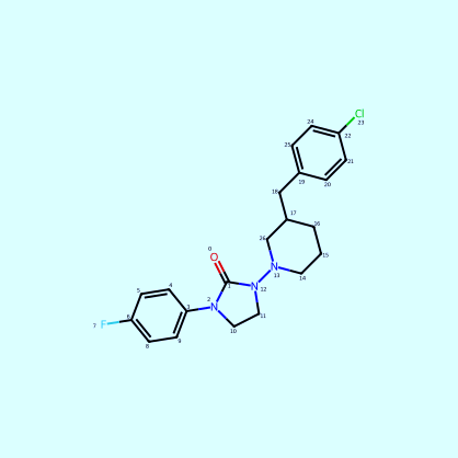 O=C1N(c2ccc(F)cc2)CCN1N1CCCC(Cc2ccc(Cl)cc2)C1